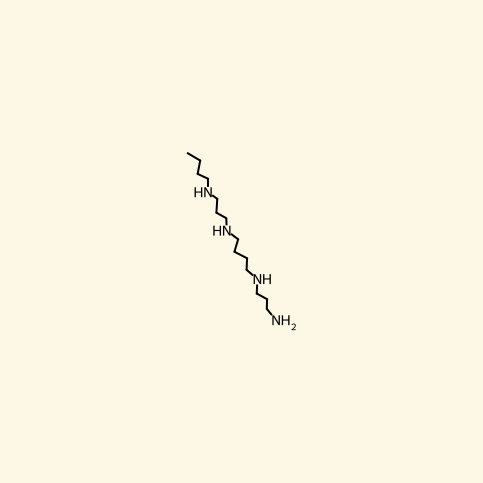 CCCCNCCCNCCCCNCCCN